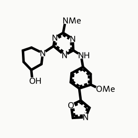 CNc1nc(Nc2ccc(-c3cnco3)c(OC)c2)nc(N2CCCC(O)C2)n1